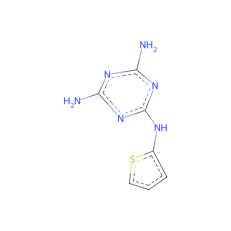 Nc1nc(N)nc(Nc2cccs2)n1